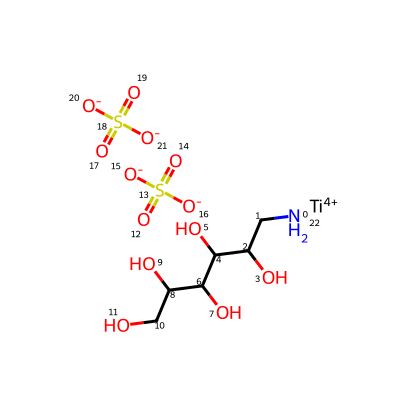 NCC(O)C(O)C(O)C(O)CO.O=S(=O)([O-])[O-].O=S(=O)([O-])[O-].[Ti+4]